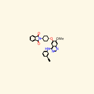 C#Cc1cccc(Nc2ncnc3cc(OC)c(O[C@H]4CC[C@H](N5C(=O)c6ccccc6C5=O)CC4)cc23)c1